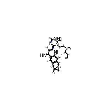 CCCN(C)CCN(CC)C(=C/[C@@H](C)C(=N)c1cc(OC2(C)CC2)c(F)cc1N)/N=C\N